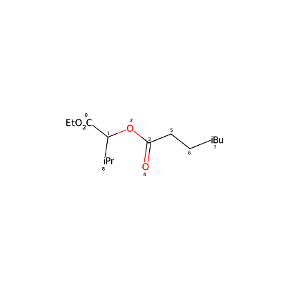 CCOC(=O)C(OC(=O)CCC(C)CC)C(C)C